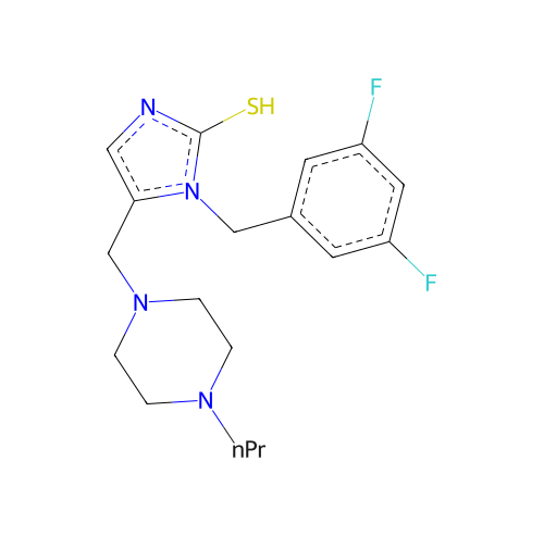 CCCN1CCN(Cc2cnc(S)n2Cc2cc(F)cc(F)c2)CC1